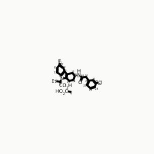 CC(=O)O.CCC(C(=O)O)n1c2c(c3cc(F)ccc31)C[C@H](NC(=O)Cc1cccc(Cl)c1)CC2